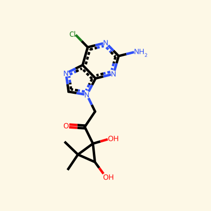 CC1(C)C(O)C1(O)C(=O)Cn1cnc2c(Cl)nc(N)nc21